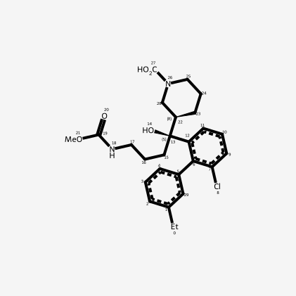 CCc1cccc(-c2c(Cl)cccc2[C@](O)(CCCNC(=O)OC)[C@@H]2CCCN(C(=O)O)C2)c1